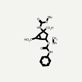 CC(C)(C)OC(=O)NC1(C(=O)O)CC(OC(=O)Nc2ccccc2)C2C(C(=O)O)C21.CCCC